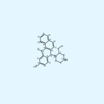 CCC1CNCCN1C(c1ccc(F)cc1)c1ccc2cccnc2c1OC